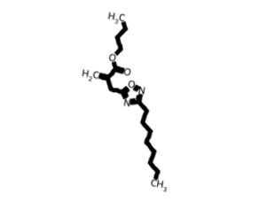 C=C(Cc1nc(CCCCCCCC)no1)C(=O)OCCCC